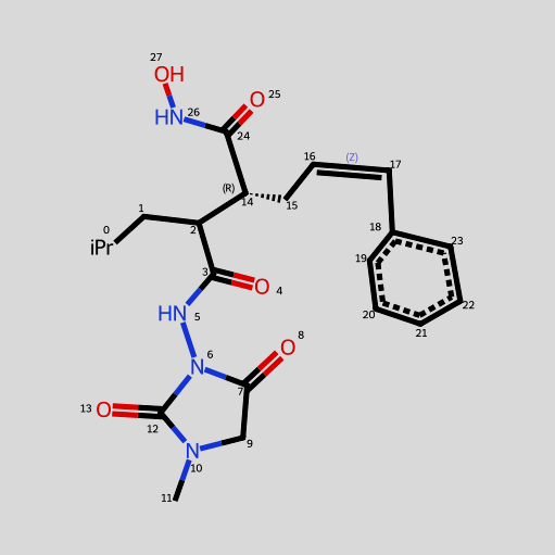 CC(C)CC(C(=O)NN1C(=O)CN(C)C1=O)[C@@H](C/C=C\c1ccccc1)C(=O)NO